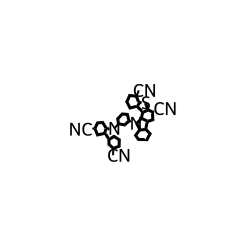 N#Cc1ccc2c(c1)c1cc(C#N)ccc1n2-c1cccc(-n2c3ccccc3c3cc(C#N)c4sc5c(C#N)cccc5c4c32)c1